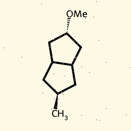 CO[C@H]1CC2C[C@H](C)CC2C1